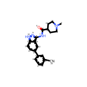 CN1CCC(C(=O)Nc2n[nH]c3ccc(-c4cccc(C#N)c4)cc23)CC1